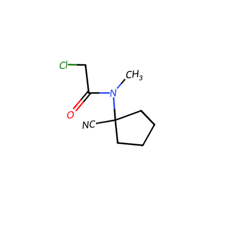 CN(C(=O)CCl)C1(C#N)CCCC1